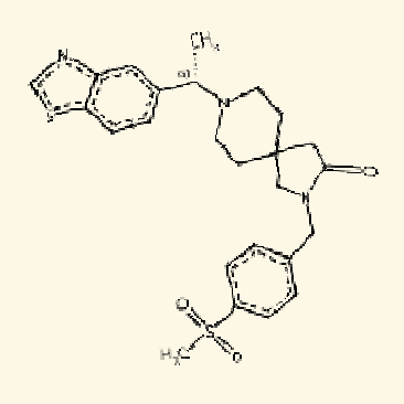 C[C@@H](c1ccc2scnc2c1)N1CCC2(CC1)CC(=O)N(Cc1ccc(S(C)(=O)=O)cc1)C2